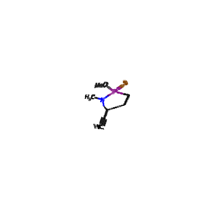 C#CC1CCP(=S)(OC)N1C